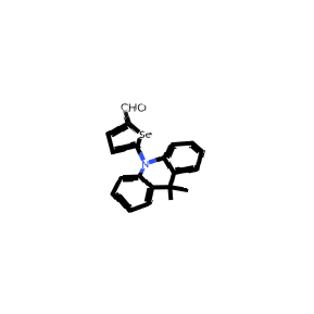 CC1(C)c2ccccc2N(c2ccc(C=O)[se]2)c2ccccc21